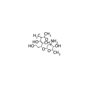 C=C(C(C)=O)/C(O)=C(\C)[C@H](CCO)OC1CC(N)C(O)C(C)O1